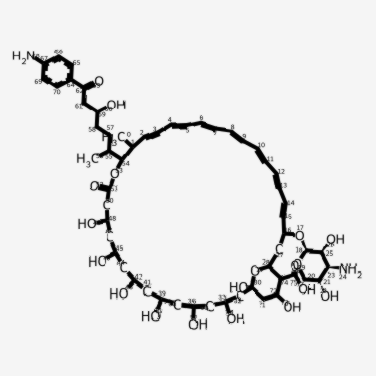 CC1/C=C/C=C/C=C/C=C/C=C/C=C/C=C/C(O[C@@H]2OC[C@@H](O)[C@H](N)[C@@H]2O)CC2OC(O)(CC(O)CC(O)CC(O)CC(O)CC(O)CC(O)CC(=O)OC1C(C)CCC(O)CC(=O)c1ccc(N)cc1)CC(O)C2C(=O)O